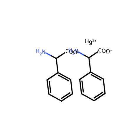 NC(C(=O)[O-])c1ccccc1.NC(C(=O)[O-])c1ccccc1.[Hg+2]